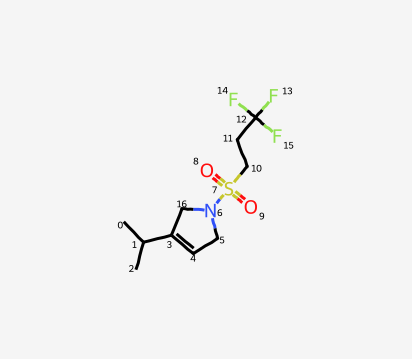 CC(C)C1=CCN(S(=O)(=O)CCC(F)(F)F)C1